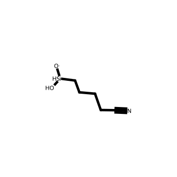 N#CCCCC[SiH]([O])O